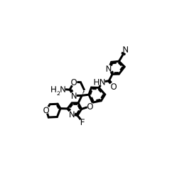 N#Cc1ccc(C(=O)Nc2ccc3c(c2)[C@@]2(CCOC(N)=N2)c2cc(C4=CCOCC4)nc(F)c2O3)nc1